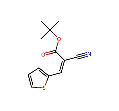 CC(C)(C)OC(=O)/C(C#N)=C\c1cccs1